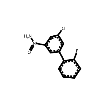 N[N+](=O)c1[c]c(Cl)cc(-c2ccccc2F)c1